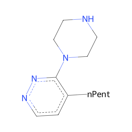 CCCCCc1ccnnc1N1CCNCC1